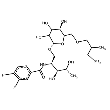 CC(CN)COCC1O[C@H](OC[C@H](NC(=O)c2ccc(F)c(F)c2)[C@H](O)[C@@H](C)O)C(O)C(O)[C@H]1O